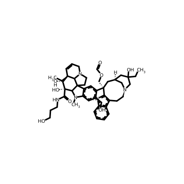 CCC1(O)C[C@H]2C[N@](CCc3c([nH]c4ccccc34)[C@@](COC=O)(c3cc4c(cc3CO)N(C)C3C45CCN4CC=C[C@](CC)(C45)[C@@H](O)[C@]3(O)C(=O)NCCCO)C2)C1